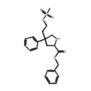 CS(=O)(=O)OCCC1(c2ccccc2)CNC(C(=O)OCc2ccccc2)C1